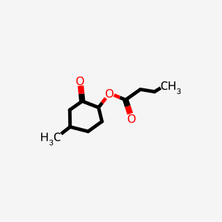 CCCC(=O)OC1CCC(C)CC1=O